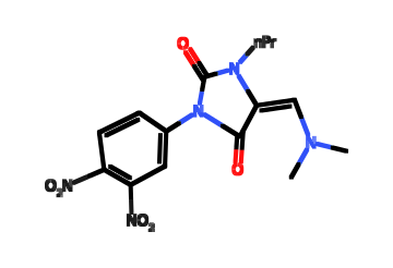 CCCN1C(=O)N(c2ccc([N+](=O)[O-])c([N+](=O)[O-])c2)C(=O)C1=CN(C)C